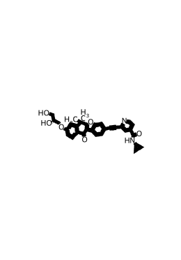 CC1(C)c2cc(OC[C@H](O)CO)ccc2C(=O)c2c1oc1cc(C#Cc3cc(C(=O)NC4CC4)ccn3)ccc21